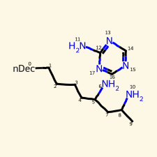 CCCCCCCCCCCCCCC(N)CC(C)N.Nc1ncncn1